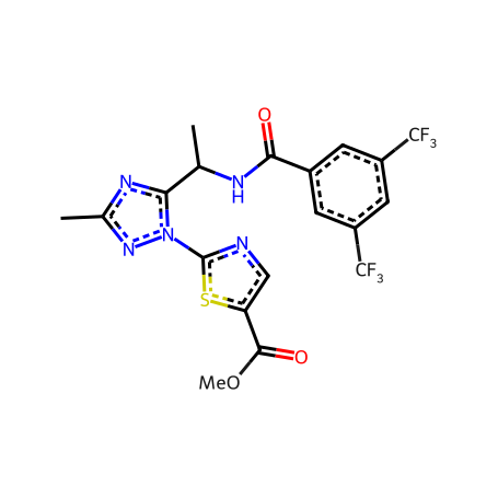 COC(=O)c1cnc(-n2nc(C)nc2C(C)NC(=O)c2cc(C(F)(F)F)cc(C(F)(F)F)c2)s1